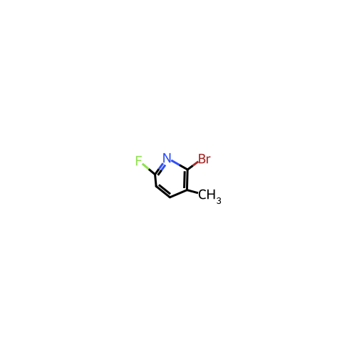 Cc1ccc(F)nc1Br